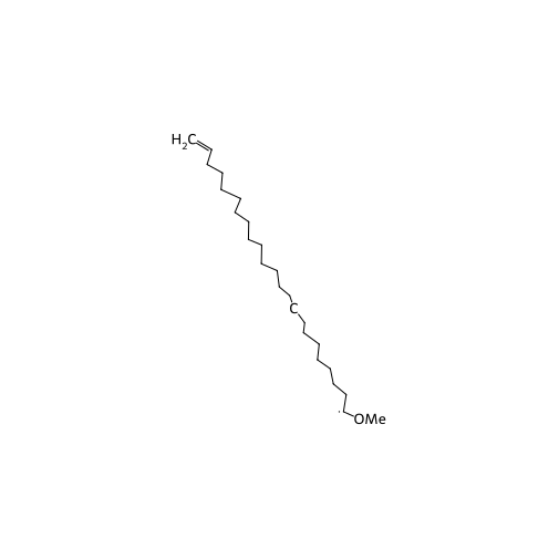 C=CCCCCCCCCCCCCCCCCCCCC[CH]OC